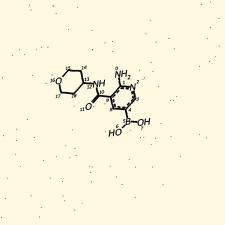 Nc1ncc(B(O)O)cc1C(=O)NC1CCOCC1